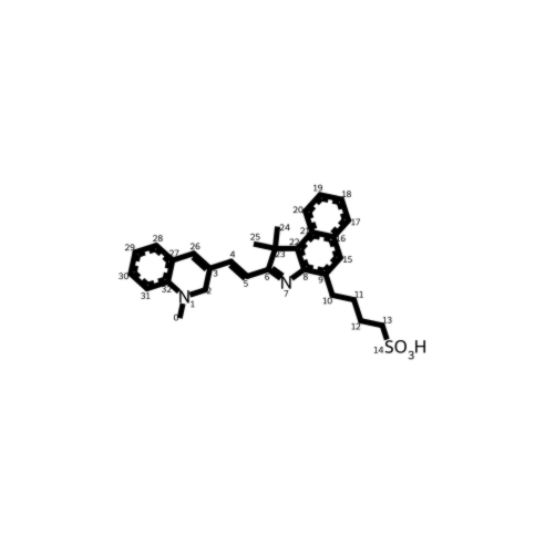 CN1CC(C=CC2=Nc3c(CCCCS(=O)(=O)O)cc4ccccc4c3C2(C)C)=Cc2ccccc21